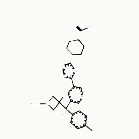 CC(C)c1ccc([C@](O)(c2cncc(-c3noc([C@H]4CC[C@@H](C(N)=O)CC4)n3)c2)C2(C)CN(C)C2)cc1